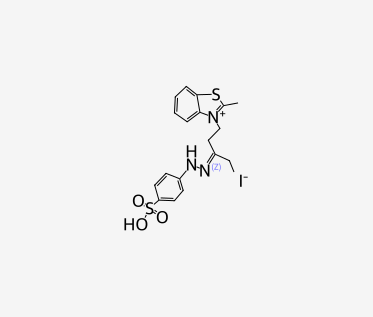 CC/C(CC[n+]1c(C)sc2ccccc21)=N/Nc1ccc(S(=O)(=O)O)cc1.[I-]